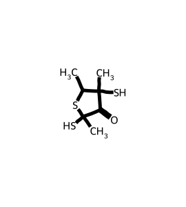 CC1SC(C)(S)C(=O)C1(C)S